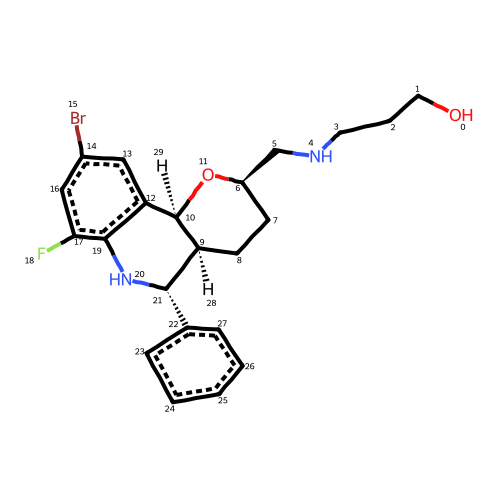 OCCCNC[C@H]1CC[C@@H]2[C@H](O1)c1cc(Br)cc(F)c1N[C@H]2c1ccccc1